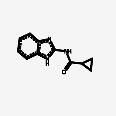 O=C(Nc1nc2ccccc2[nH]1)C1CC1